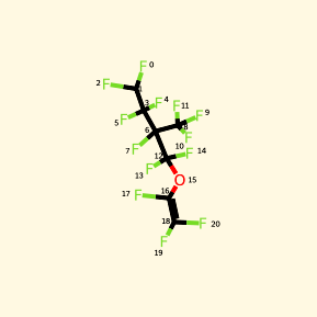 F[C](F)C(F)(F)C(F)(C(F)(F)F)C(F)(F)OC(F)=C(F)F